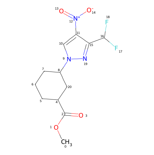 COC(=O)C1CCCC(n2cc([N+](=O)[O-])c(C(F)F)n2)C1